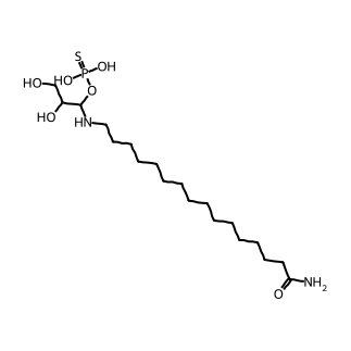 NC(=O)CCCCCCCCCCCCCCCNC(OP(O)(O)=S)C(O)CO